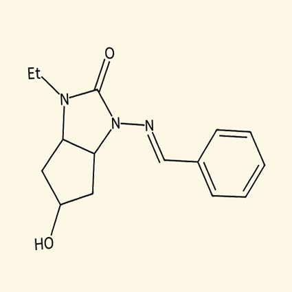 CCN1C(=O)N(N=Cc2ccccc2)C2CC(O)CC21